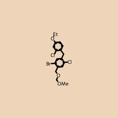 CCOc1ccc(Cc2cc(Br)c(COCOC)cc2Cl)c(Cl)c1